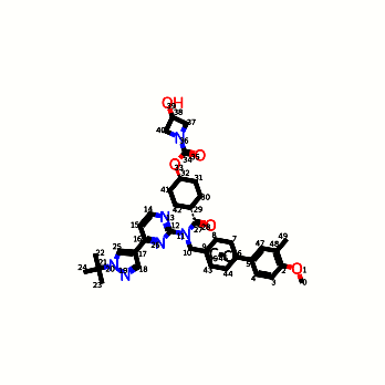 COc1ccc(C23CCC(CN(c4nccc(-c5cnn(C(C)(C)C)c5)n4)C(=O)[C@H]4CC[C@H](OC(=O)N5CC(O)C5)CC4)(CC2)CC3)cc1C